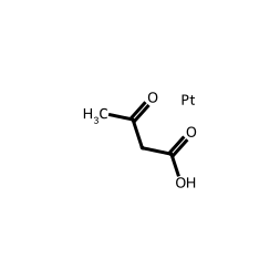 CC(=O)CC(=O)O.[Pt]